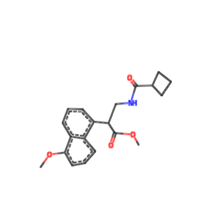 COC(=O)C(CNC(=O)C1CCC1)c1cccc2c(OC)cccc12